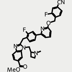 COC(=O)c1ccc2nc(Cc3ccc(-c4cccc(OCc5ccc(C#N)cc5F)n4)cc3F)n(CC3CCN3C)c2c1